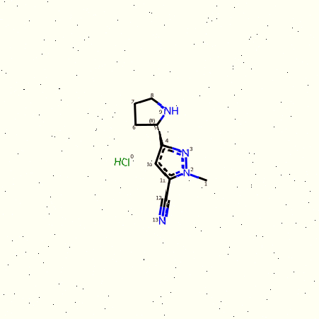 Cl.Cn1nc([C@H]2CCCN2)cc1C#N